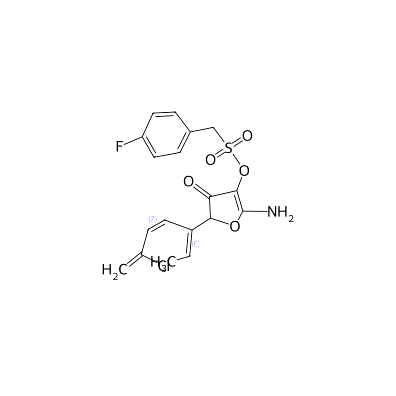 C=C(Cl)/C=C\C(=C/C)C1OC(N)=C(OS(=O)(=O)Cc2ccc(F)cc2)C1=O